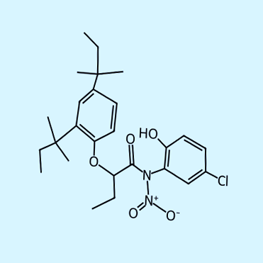 CCC(Oc1ccc(C(C)(C)CC)cc1C(C)(C)CC)C(=O)N(c1cc(Cl)ccc1O)[N+](=O)[O-]